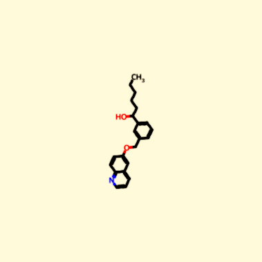 CCCCCC(O)c1cccc(COc2ccc3ncccc3c2)c1